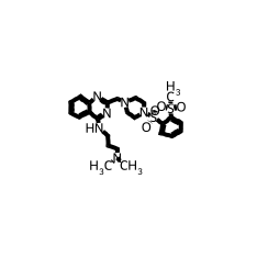 CN(C)CCCNc1nc(CN2CCN(S(=O)(=O)c3ccccc3S(C)(=O)=O)CC2)nc2ccccc12